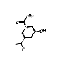 CCCCC(=O)N1C[C@@H](O)C[C@@H](C(F)F)C1